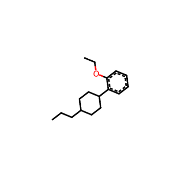 CCCC1CCC(c2ccccc2OCC)CC1